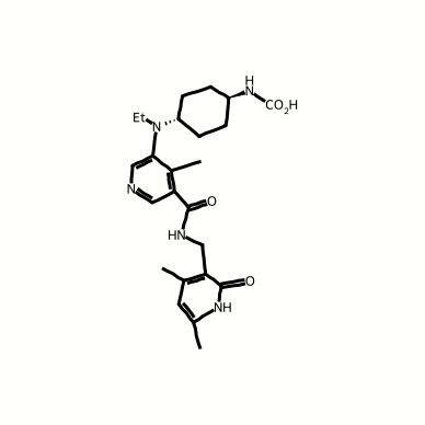 CCN(c1cncc(C(=O)NCc2c(C)cc(C)[nH]c2=O)c1C)[C@H]1CC[C@H](NC(=O)O)CC1